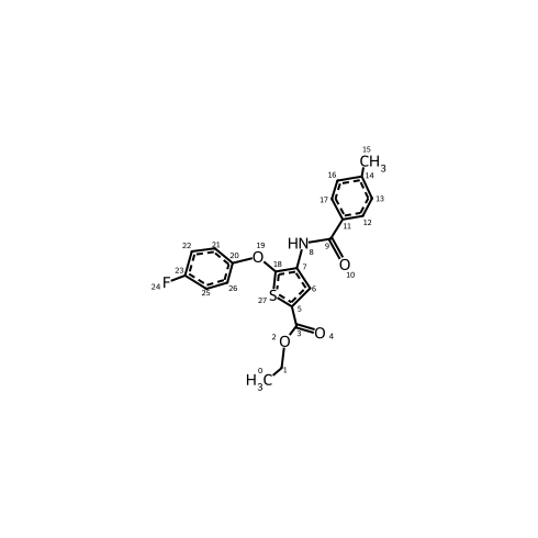 CCOC(=O)c1cc(NC(=O)c2ccc(C)cc2)c(Oc2ccc(F)cc2)s1